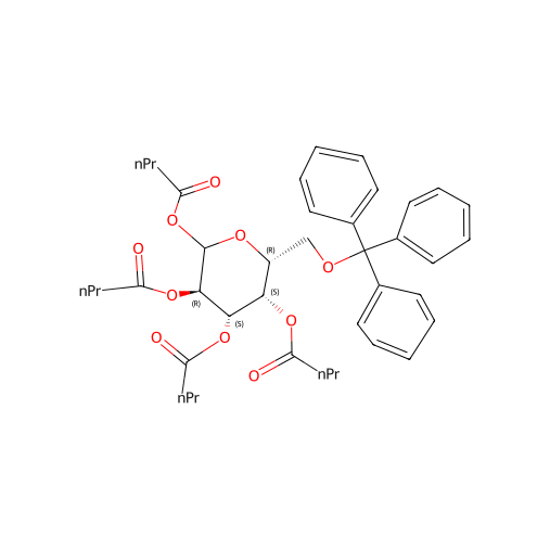 CCCC(=O)OC1O[C@H](COC(c2ccccc2)(c2ccccc2)c2ccccc2)[C@H](OC(=O)CCC)[C@H](OC(=O)CCC)[C@H]1OC(=O)CCC